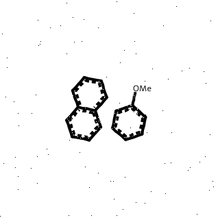 COc1ccccc1.c1ccc2ccccc2c1